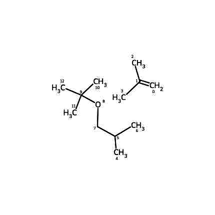 C=C(C)C.CC(C)COC(C)(C)C